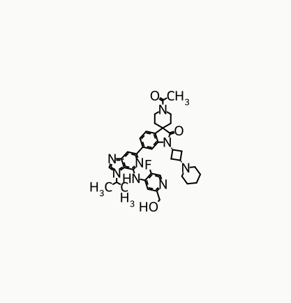 CC(=O)N1CCC2(CC1)C(=O)N([C@H]1C[C@@H](N3CCCCC3)C1)c1cc(-c3cc4ncn(C(C)C)c4c(Nc4cc(CO)ncc4F)n3)ccc12